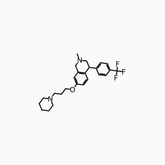 CN1Cc2cc(OCCCN3CCCCC3)ccc2C(c2ccc(C(F)(F)F)cc2)C1